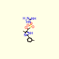 Cc1cccc(-c2nc(C)c(C(=O)CS(=O)(=O)ONC(=N)N)[nH]2)c1